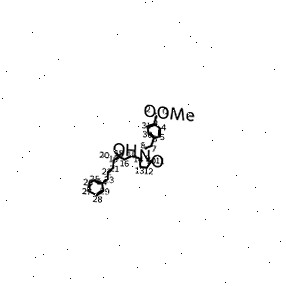 COC(=O)c1ccc(CCN2C(=O)CCC2CC[C@@H](O)[C@@H](C)CCCc2ccccc2)cc1